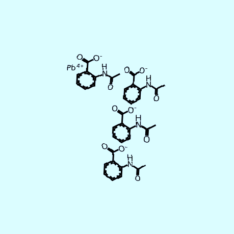 CC(=O)Nc1ccccc1C(=O)[O-].CC(=O)Nc1ccccc1C(=O)[O-].CC(=O)Nc1ccccc1C(=O)[O-].CC(=O)Nc1ccccc1C(=O)[O-].[Pb+4]